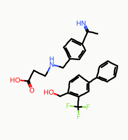 CC(=N)c1ccc(CNCCC(=O)O)cc1.OCc1ccc(-c2ccccc2)cc1C(F)(F)F